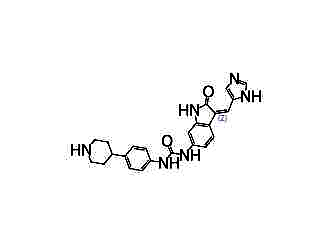 O=C(Nc1ccc(C2CCNCC2)cc1)Nc1ccc2c(c1)NC(=O)/C2=C\c1cnc[nH]1